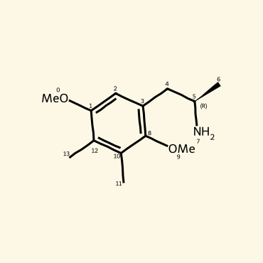 COc1cc(C[C@@H](C)N)c(OC)c(C)c1C